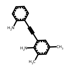 Cc1cc(C)c(N)c(C#Cc2ccccc2N)c1